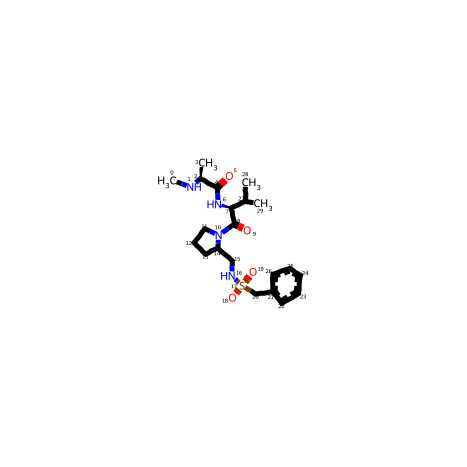 CN[C@@H](C)C(=O)N[C@H](C(=O)N1CCCC1CNS(=O)(=O)Cc1ccccc1)C(C)C